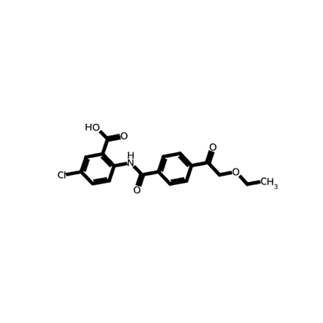 CCOCC(=O)c1ccc(C(=O)Nc2ccc(Cl)cc2C(=O)O)cc1